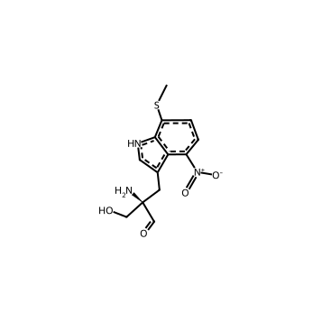 CSc1ccc([N+](=O)[O-])c2c(C[C@](N)(C=O)CO)c[nH]c12